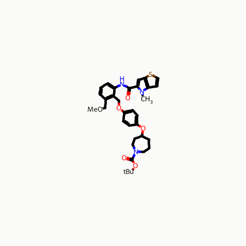 COCc1cccc(NC(=O)c2cc3sccc3n2C)c1COc1ccc(OC2CCCN(C(=O)OC(C)(C)C)CC2)cc1